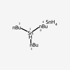 CCC[CH2][SnH]([CH2]CCC)[CH2]CCC.[SnH4]